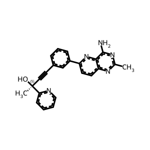 Cc1nc(N)c2nc(-c3cccc(C#C[C@](C)(O)c4ccccn4)c3)ccc2n1